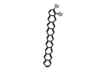 Brc1ccc2cc3cc4cc5cc6cc7cc8cc9ccccc9cc8cc7cc6cc5cc4cc3cc2c1Br